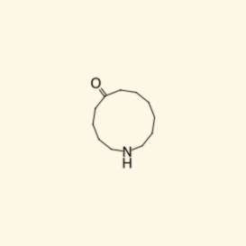 O=C1CCCCCCNCCCC1